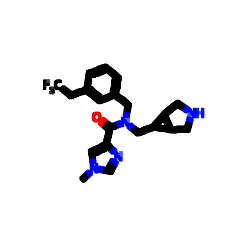 Cn1cnc(C(=O)N(Cc2cccc(CC(F)(F)F)c2)CC2C3CNCC32)c1